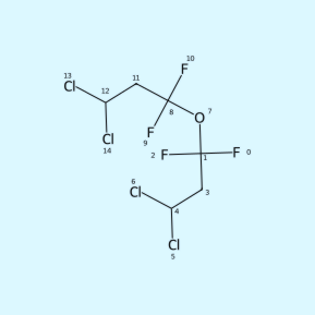 FC(F)(CC(Cl)Cl)OC(F)(F)CC(Cl)Cl